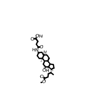 COC(=O)CCC(C)[C@H]1CCC2C3CC[C@@H]4C[C@H](NC(=O)CCC(=O)O)CC[C@]4(C)C3C[C@H](O)[C@@]21C